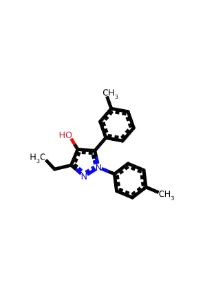 CCc1nn(-c2ccc(C)cc2)c(-c2cccc(C)c2)c1O